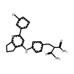 NC(=O)C(Cc1ccc(Nc2cc(-c3cccc(Cl)c3)nc3c2CCC3)cc1)C(N)=O